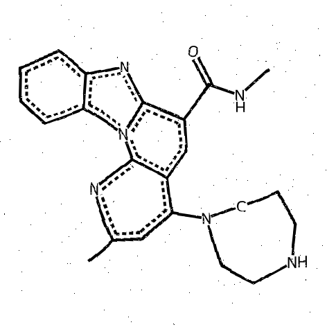 CNC(=O)c1cc2c(N3CCCNCC3)cc(C)nc2n2c1nc1ccccc12